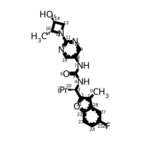 Cc1c([C@H](NC(=O)Nc2cnc(N3C[C@H](O)[C@H]3C)nc2)C(C)C)oc2ccc(F)cc12